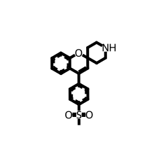 CS(=O)(=O)c1ccc(C2=CC3(CCNCC3)Oc3ccccc32)cc1